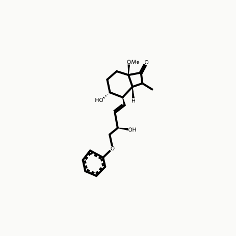 CO[C@]12CC[C@@H](O)[C@H](/C=C/[C@@H](O)COc3ccccc3)[C@H]1C(C)C2=O